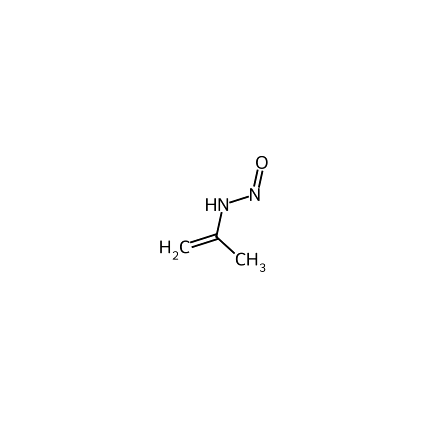 C=C(C)NN=O